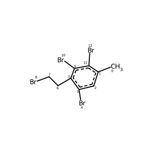 Cc1cc(Br)c(CCBr)c(Br)c1Br